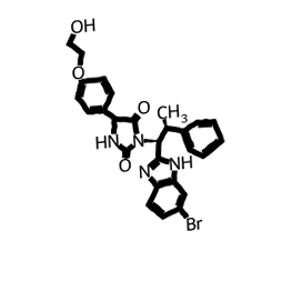 C[C@@H](c1ccccc1)[C@@H](c1nc2ccc(Br)cc2[nH]1)N1C(=O)NC(c2ccc(OCCO)cc2)C1=O